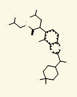 NC(c1nc2c(F)c(C(CC(F)F)C(=O)NCC(F)F)ccc2[nH]1)C1CCC(F)(F)CC1